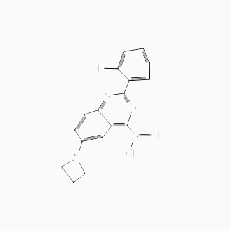 CN(C)c1nc(-c2ccccc2F)nc2ccc(N3CCC3)cc12